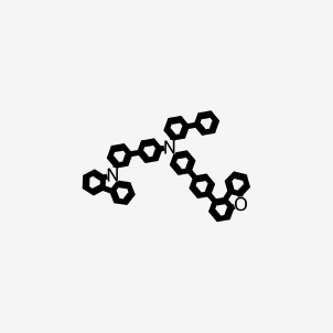 c1ccc(-c2cccc(N(c3ccc(-c4ccc(-c5cccc6oc7ccccc7c56)cc4)cc3)c3ccc(-c4cccc(-n5c6ccccc6c6ccccc65)c4)cc3)c2)cc1